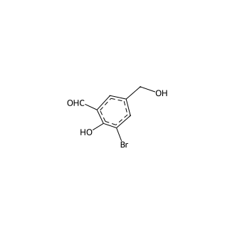 O=Cc1cc(CO)cc(Br)c1O